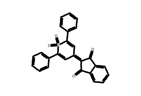 O=C1C(=C2C=C(c3ccccc3)S(=O)(=O)C(c3ccccc3)=C2)C(=O)c2ccccc21